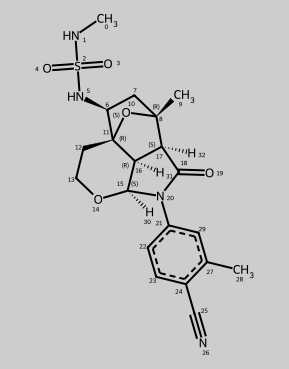 CNS(=O)(=O)N[C@H]1C[C@@]2(C)O[C@@]13CCO[C@H]1[C@@H]3[C@@H]2C(=O)N1c1ccc(C#N)c(C)c1